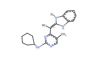 CCN1/C(=C(\C#N)c2nc(NC3CCCCC3)ncc2C)Nc2ccccc21